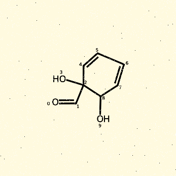 O=CC1(O)C=CC=CC1O